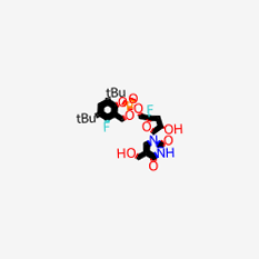 CC(C)(C)c1cc(C(C)(C)C)c2c(c1F)COP(=O)(OC[C@]1(F)C[C@@H](O)[C@H](n3cc(CO)c(=O)[nH]c3=O)O1)O2